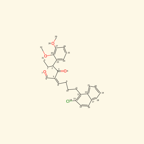 CCC(C(=O)C([C]=O)=CCCCc1c(Cl)ccc2ccccc12)c1cccc(OC)c1OC